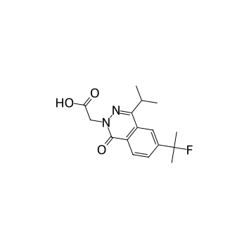 CC(C)c1nn(CC(=O)O)c(=O)c2ccc(C(C)(C)F)cc12